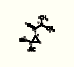 [C-]#[N+][C@@]1(C(C)(C)C)C[C@H]1C(=O)N(C)C